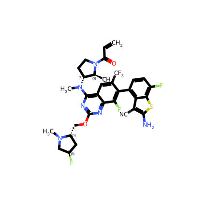 C=CC(=O)N1CC[C@@H](N(C)c2nc(OC[C@@H]3C[C@@H](F)CN3C)nc3c(F)c(-c4ccc(F)c5sc(N)c(C#N)c45)c(C(F)(F)F)cc23)[C@@H]1C